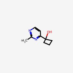 [CH2]c1nccc(C2(O)CCC2)n1